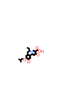 CCC1Cc2cc(OCC(C)C)c(OC)cc2-c2cc(=O)c(C(=O)O)cn21